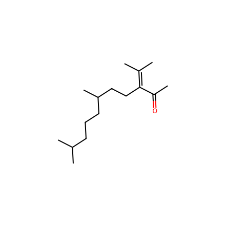 CC(=O)C(CCC(C)CCCC(C)C)=C(C)C